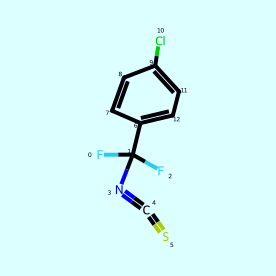 FC(F)(N=C=S)c1ccc(Cl)cc1